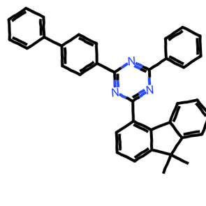 CC1(C)c2ccccc2-c2c(-c3nc(-c4ccccc4)nc(-c4ccc(-c5ccccc5)cc4)n3)cccc21